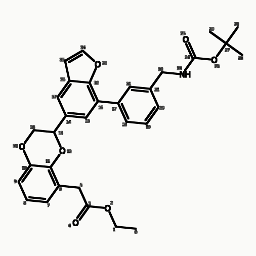 CCOC(=O)Cc1cccc2c1OC(c1cc(-c3cccc(CNC(=O)OC(C)(C)C)c3)c3occc3c1)CO2